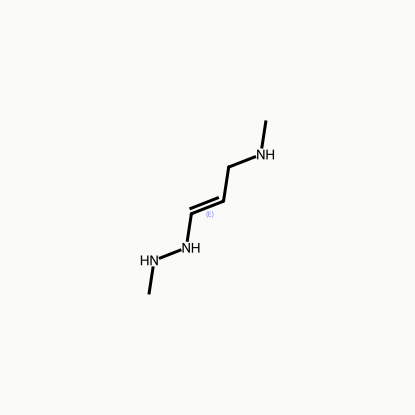 CNC/C=C/NNC